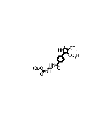 CC(C)(C)OC(=O)NCCNC(=O)c1ccc(-c2[nH]nc(C(F)(F)F)c2C(=O)O)cc1